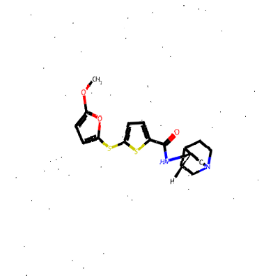 COc1ccc(Sc2ccc(C(=O)N[C@H]3CN4CCC3CC4)s2)o1